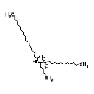 CCCCCCCCCCCCCCCCCC(=O)NC(CCCCN)C(=O)NCCCCCCCCCCCC